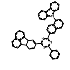 C1=CC2c3cccc4cccc(c34)C2C=C1c1nc(-c2ccccc2)nc(-c2ccc3c(-n4c5ccccc5c5ccccc54)cccc3c2)n1